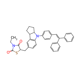 CCN1C(=O)SC(Cc2ccc3c(c2)C2CCCC2N3c2ccc(C=C(c3ccccc3)c3ccccc3)cc2)C1=O